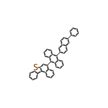 c1ccc(-c2ccc3cc(-c4c5ccccc5c(-c5cc6sc7ccccc7c6c6ccccc56)c5ccccc45)ccc3c2)cc1